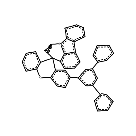 c1ccc(-c2cc(-c3ccccc3)cc(-c3ccc4c(c3)C3(c5ccccc5S4)c4ccccc4-n4c5ccccc5c5cccc3c54)c2)cc1